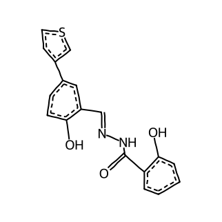 O=C(N/N=C/c1cc(-c2ccsc2)ccc1O)c1ccccc1O